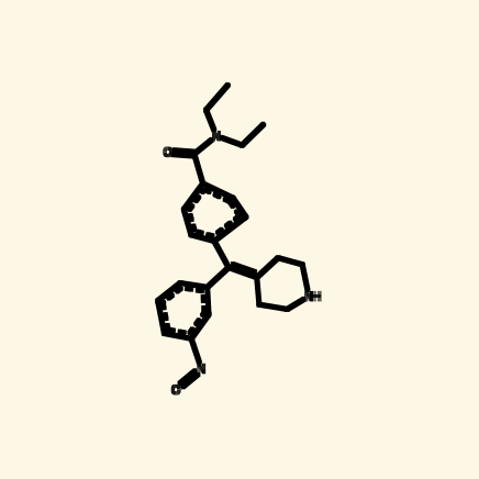 CCN(CC)C(=O)c1ccc(C(=C2CCNCC2)c2cccc(N=O)c2)cc1